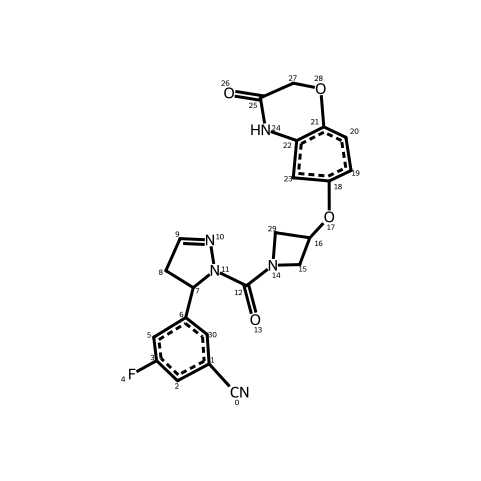 N#Cc1cc(F)cc(C2CC=NN2C(=O)N2CC(Oc3ccc4c(c3)NC(=O)CO4)C2)c1